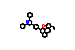 C=Cc1ccc2oc3c(-c4ccc(-c5cc(-c6ccccc6)nc(-c6ccccc6)c5)cc4)cc4ccccc4c3c2c1/C=C\C